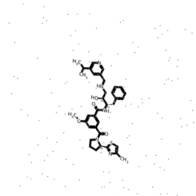 COc1cc(C(=O)N[C@@H](Cc2ccccc2)[C@@H](O)CNCc2cncc(C(C)C)c2)cc(C(=O)N2CCC[C@@H]2c2nc(C)cs2)c1